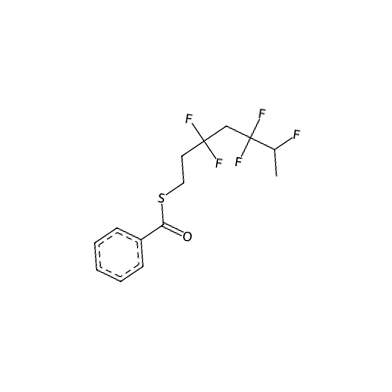 CC(F)C(F)(F)CC(F)(F)CCSC(=O)c1ccccc1